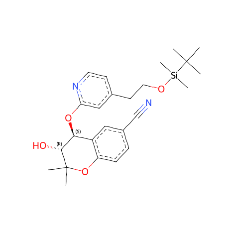 CC1(C)Oc2ccc(C#N)cc2[C@H](Oc2cc(CCO[Si](C)(C)C(C)(C)C)ccn2)[C@H]1O